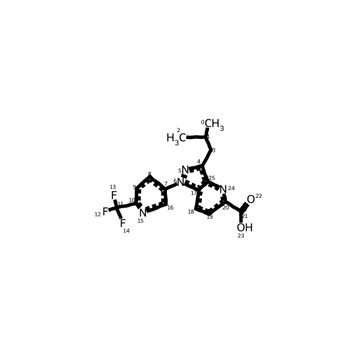 CC(C)Cc1nn(-c2ccc(C(F)(F)F)nc2)c2ccc(C(=O)O)nc12